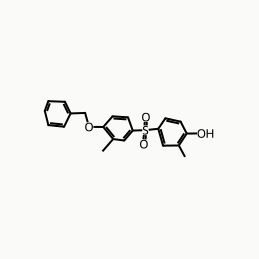 Cc1cc(S(=O)(=O)c2ccc(OCc3ccccc3)c(C)c2)ccc1O